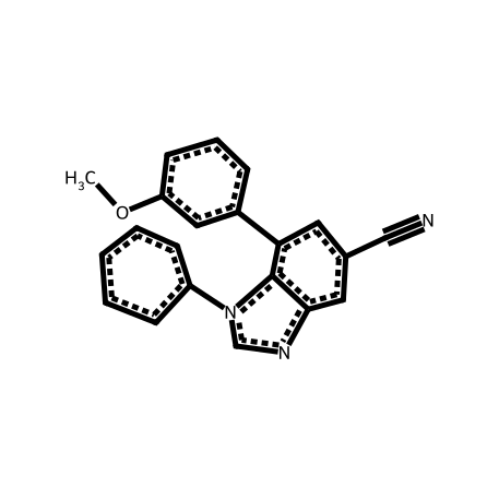 COc1cccc(-c2cc(C#N)cc3ncn(-c4ccccc4)c23)c1